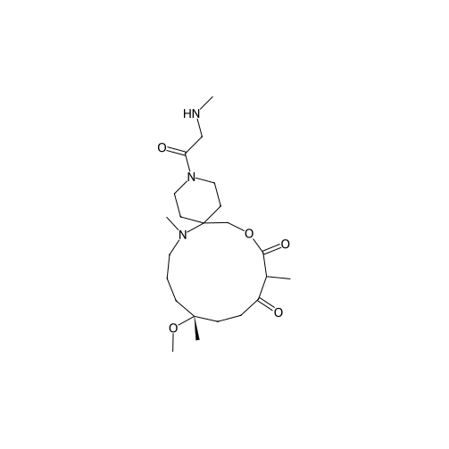 CNCC(=O)N1CCC2(CC1)COC(=O)C(C)C(=O)CC[C@](C)(OC)CCCN2C